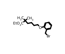 CCOC(=O)C(C)(C)CCCCOc1ccccc1CBr